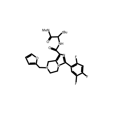 CNC(=O)C(NC(=O)c1nc(-c2cc(F)c(F)cc2F)n2c1CN(Cc1ccco1)CC2)C(C)(C)C